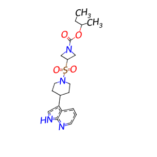 CCC(C)OC(=O)N1CC(S(=O)(=O)N2CCC(c3c[nH]c4ncccc34)CC2)C1